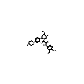 CCc1cc(NC(=O)C(=O)N2C[C@H](C)C(OC)C[C@H]2c2ccc(N3CCN(C)CC3)cc2)cnc1N